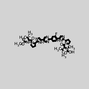 COC(=O)NC(C(=O)N1CCCC1c1ncc(-c2cnc(-c3ccc(-c4cnc([C@@H]5CCCN5C(=O)[C@H](C(C)C)N(C)C(=O)O)[nH]4)c(F)c3)nc2)[nH]1)C(C)C